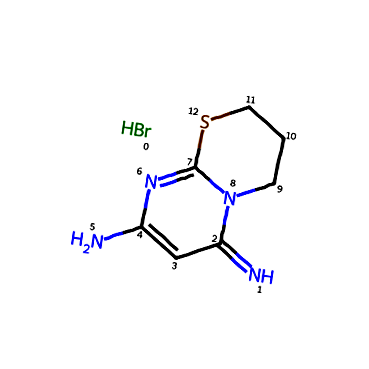 Br.N=c1cc(N)nc2n1CCCS2